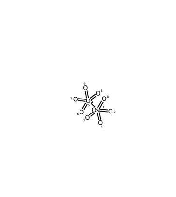 [O]=[Os](=[O])(=[O])(=[O])[Os](=[O])(=[O])(=[O])=[O]